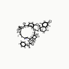 C[C@@H]1[C@@H](C)C/C=C/[C@](O)(CC(=O)N(C)c2ccccc2)[C@@H]2CC[C@H]2CN2C[C@@]3(CCCc4cc(Cl)ccc43)COc3ccc(cc32)C(=O)NS1(=O)=O